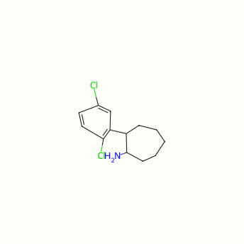 NC1CCCCCC1c1cc(Cl)ccc1Cl